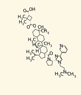 C=C(C)[C@@H]1CC[C@]2(C(=O)N3CCC[C@H]3c3nc(-c4cccnc4)cn3CCN(C)C)CC[C@]3(C)[C@H](CCC4[C@@]5(C)CC[C@H](OC(=O)[C@H]6C[C@@H](C(=O)O)C6(C)C)C(C)(C)C5CC[C@]43C)C12